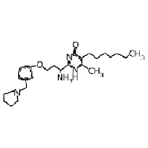 CCCCCCCc1c(C)[nH]c(C(N)CCOc2cccc(CN3CCCCC3)c2)nc1=O